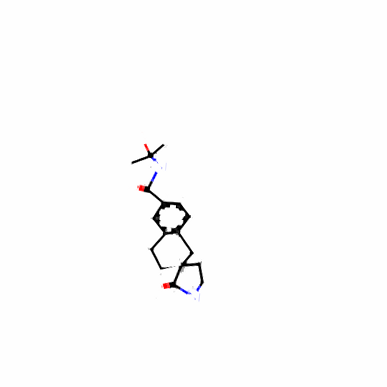 CC(C)(O)NC(=O)c1ccc2c(c1)CC[C@]1(CCNC1=O)C2